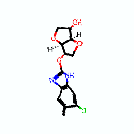 Cc1cc2nc(O[C@@H]3CO[C@H]4[C@@H]3OC[C@H]4O)[nH]c2cc1Cl